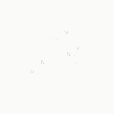 c1ccc(-c2nc3c(-c4ccc(N(c5ccccc5)c5cccc6c5oc5ccccc56)cc4)c4c(cc3o2)oc2ccccc24)cc1